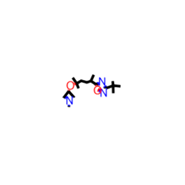 CC(CCC(C)(C)OC1CN(C)C1)c1nc(C(C)(C)C)no1